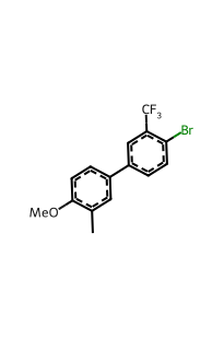 COc1ccc(-c2ccc(Br)c(C(F)(F)F)c2)cc1C